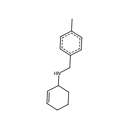 Cc1ccc(CNC2C=CCCC2)cc1